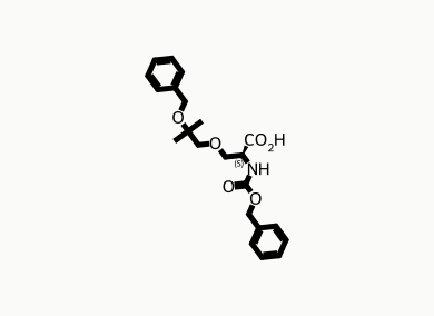 CC(C)(COC[C@H](NC(=O)OCc1ccccc1)C(=O)O)OCc1ccccc1